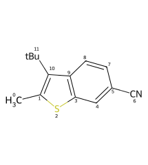 Cc1sc2cc(C#N)ccc2c1C(C)(C)C